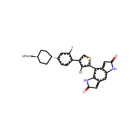 CCCCC[C@H]1CC[C@H](c2ccc(-c3csc(-c4c5c(cc6c4=CC(=O)N6)=CC(=O)N5)c3CC)c(F)c2)CC1